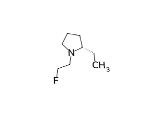 CC[C@H]1CCCN1CCF